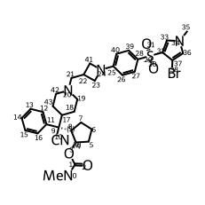 CNC(=O)O[C@@H]1CCC[C@H]1C(C#N)(c1ccccc1)C1CCN(CC2CN(c3ccc(S(=O)(=O)c4cn(C)cc4Br)cc3)C2)CC1